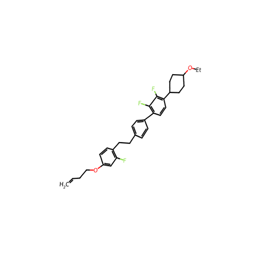 C=CCCOc1ccc(CCc2ccc(-c3ccc(C4CCC(OCC)CC4)c(F)c3F)cc2)c(F)c1